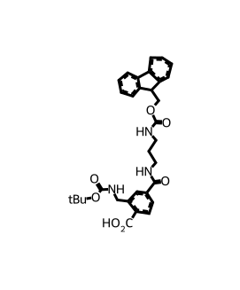 CC(C)(C)OC(=O)NCc1cc(C(=O)NCCCNC(=O)OCC2c3ccccc3-c3ccccc32)ccc1C(=O)O